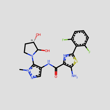 Cn1ncc(NC(=O)c2nc(-c3c(F)cccc3F)sc2N)c1N1CC[C@H](O)C1O